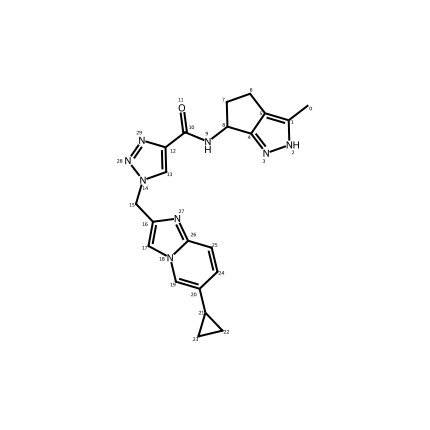 Cc1[nH]nc2c1CCC2NC(=O)c1cn(Cc2cn3cc(C4CC4)ccc3n2)nn1